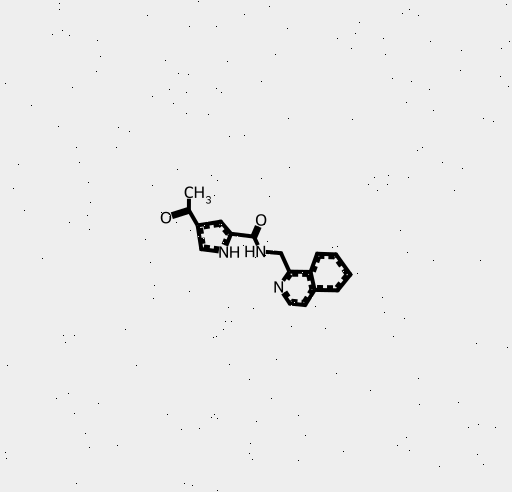 CC(=O)c1c[nH]c(C(=O)NCc2nccc3ccccc23)c1